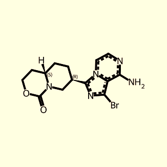 Nc1nccn2c([C@@H]3CC[C@H]4CCOC(=O)N4C3)nc(Br)c12